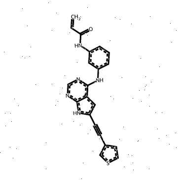 C=CC(=O)Nc1cccc(Nc2ncnc3[nH]c(C#Cc4ccsc4)cc23)c1